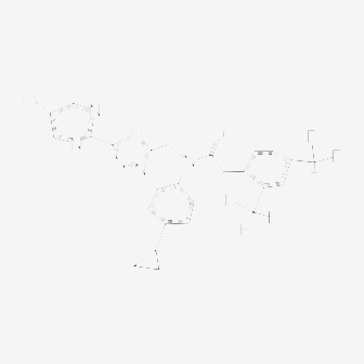 O=C(Cc1ccc(C(F)(F)F)cc1C(F)(F)F)N(Cc1nnc(-c2ncc(Cl)cn2)o1)c1ccc(C2CC2)cc1